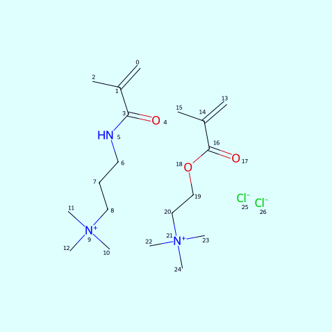 C=C(C)C(=O)NCCC[N+](C)(C)C.C=C(C)C(=O)OCC[N+](C)(C)C.[Cl-].[Cl-]